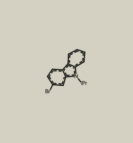 CC(C)n1c2ccccc2c2ccc(Br)cc21